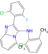 Cc1cccc(Cl)c1Nc1c(-c2c(F)cccc2Cl)nc2cccc(C(F)(F)F)n12